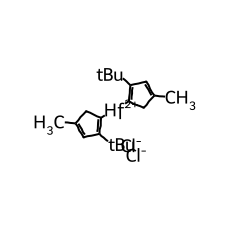 CC1=CC(C(C)(C)C)=[C]([Hf+2][C]2=C(C(C)(C)C)C=C(C)C2)C1.[Cl-].[Cl-]